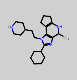 FC(F)(F)C1NC2=C(CCC2)c2c1nc(C1CCCCC1)n2CCC1CCNCC1